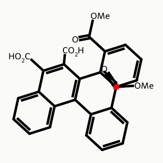 COC(=O)c1ccccc1-c1c(C(=O)O)c(C(=O)O)c2ccccc2c1-c1ccccc1C(=O)OC